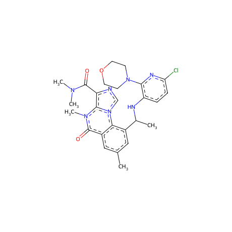 Cc1cc(C(C)Nc2ccc(Cl)nc2N2CCOCC2)c2c(c1)c(=O)n(C)c1c(C(=O)N(C)C)ncn21